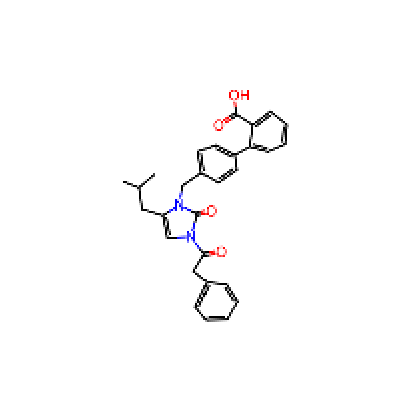 CC(C)Cc1cn(C(=O)Cc2ccccc2)c(=O)n1Cc1ccc(-c2ccccc2C(=O)O)cc1